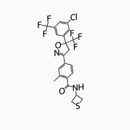 Cc1cc(C2=NOC(c3cc(Cl)cc(C(F)(F)F)c3)(C(F)(F)F)C2)ccc1C(=O)NC1CSC1